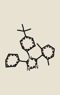 Cc1cccc(C)c1-c1nnc(-c2ccccc2)n1-c1ccc(C(C)(C)C)cc1